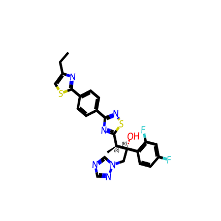 CCc1csc(-c2ccc(-c3nsc([C@H](C)[C@](O)(Cn4cncn4)c4ccc(F)cc4F)n3)cc2)n1